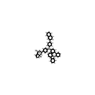 c1ccc(-n2c3ccccc3c3ccccc32)c(-c2ccc(N(c3ccc(-c4ccc5ccccc5c4)cc3)c3ccc(C45CCC67CC(C[C@H]6C4)[C@H]7C5)cc3)cc2)c1